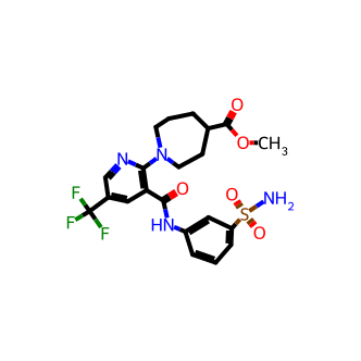 COC(=O)C1CCCN(c2ncc(C(F)(F)F)cc2C(=O)Nc2cccc(S(N)(=O)=O)c2)CC1